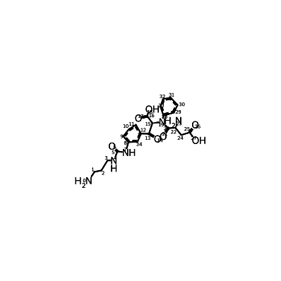 NCCCNC(=O)Nc1cccc(C(=O)[C@@H](C(=O)O)N(C(=O)[C@@H](N)CC(=O)O)c2ccccc2)c1